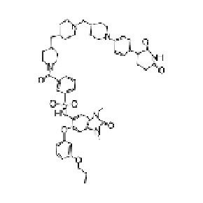 CCCOc1cccc(Oc2cc3c(cc2NS(=O)(=O)c2cccc(C(=O)N4CCC(CC5CCN(CC6CCN(c7ccc(C8CCC(=O)NC8=O)cc7)CC6)CC5)CC4)c2)n(C)c(=O)n3C)c1